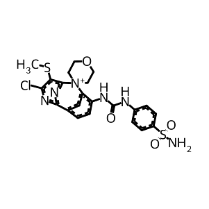 CSc1c(Cl)nc2nc1[N+]1(CCOCC1)c1cc-2ccc1NC(=O)Nc1ccc(S(N)(=O)=O)cc1